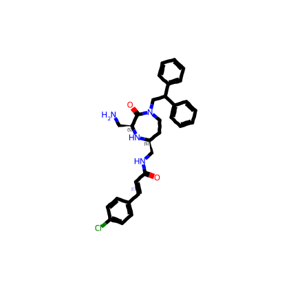 NC[C@@H]1N[C@H](CNC(=O)/C=C/c2ccc(Cl)cc2)CCN(CC(c2ccccc2)c2ccccc2)C1=O